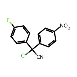 N#CC(Cl)(c1ccc(F)cc1)c1ccc([N+](=O)[O-])cc1